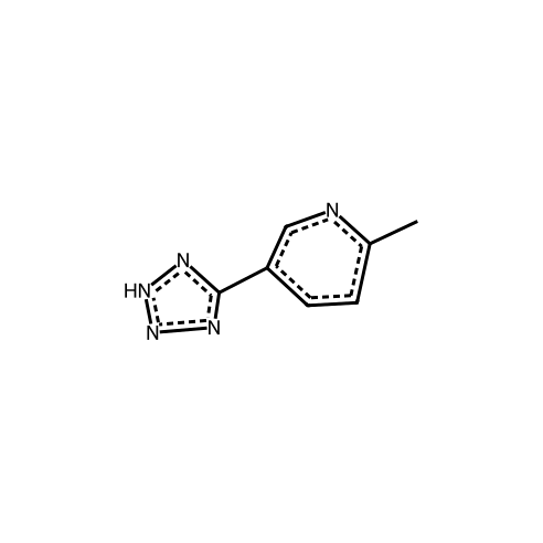 Cc1ccc(-c2nn[nH]n2)cn1